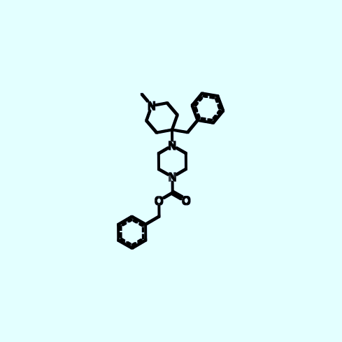 CN1CCC(Cc2ccccc2)(N2CCN(C(=O)OCc3ccccc3)CC2)CC1